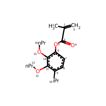 C=C(C)C(=O)Oc1ccc(C(C)C)c(OCCC)c1OCCC